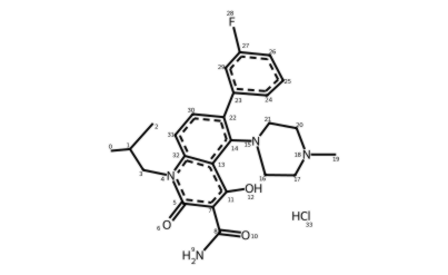 CC(C)Cn1c(=O)c(C(N)=O)c(O)c2c(N3CCN(C)CC3)c(-c3cccc(F)c3)ccc21.Cl